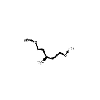 C=C(CCOCCCC)CCOCCCC